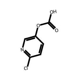 O=C(O)Oc1ccc(Cl)nc1